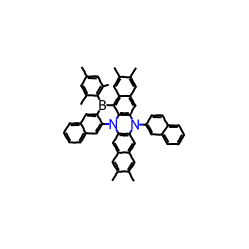 Cc1cc(C)c(B2c3cc4ccccc4cc3N3c4cc5cc(C)c(C)cc5cc4N(c4ccc5ccccc5c4)c4cc5cc(C)c(C)cc5c2c43)c(C)c1